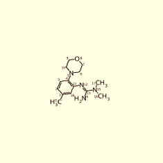 Cc1ccc(N2CCOCC2)c(/N=C(\N)N(C)C)c1